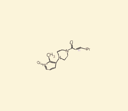 Cc1c(N2CCN(C(=O)/C=C/C(C)C)CC2)ccc[n+]1[O-]